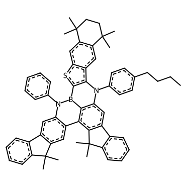 CCCCc1ccc(N2c3cc4c(c5c3B(c3sc6cc7c(cc6c32)C(C)(C)CCC7(C)C)N(c2ccccc2)c2cc3c(cc2-5)C(C)(C)c2ccccc2-3)C(C)(C)c2ccccc2-4)cc1